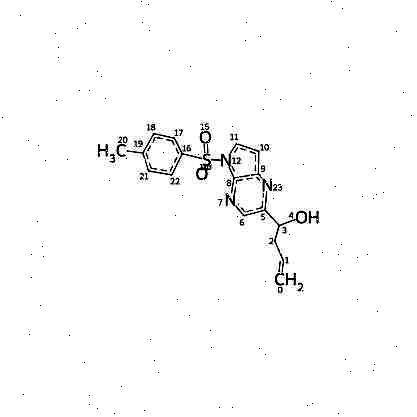 C=CCC(O)c1cnc2c(ccn2S(=O)(=O)c2ccc(C)cc2)n1